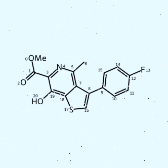 COC(=O)c1nc(C)c2c(-c3ccc(F)cc3)csc2c1O